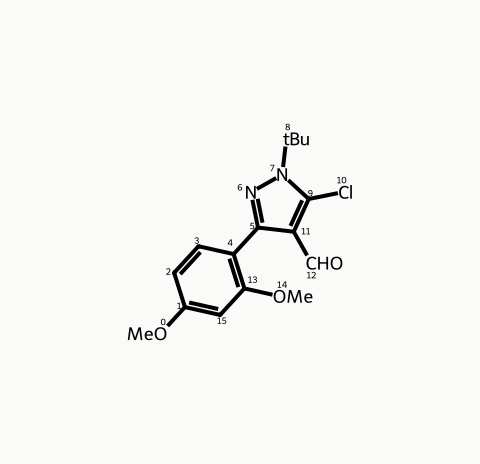 COc1ccc(-c2nn(C(C)(C)C)c(Cl)c2C=O)c(OC)c1